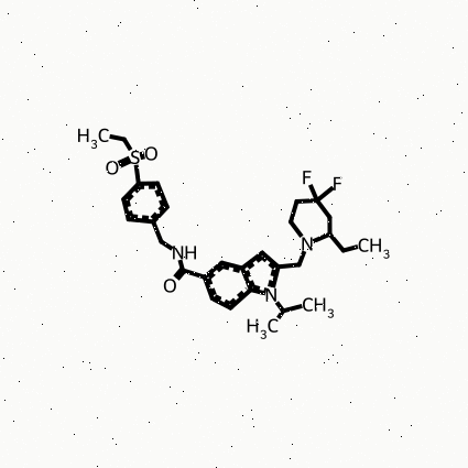 CCC1CC(F)(F)CCN1Cc1cc2cc(C(=O)NCc3ccc(S(=O)(=O)CC)cc3)ccc2n1C(C)C